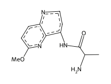 COc1ccc2nccc(NC(=O)C(C)N)c2n1